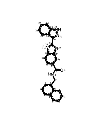 O=C(NCc1cccc2ccccc12)c1ccc2[nH]c(-c3n[nH]c4ccccc34)nc2c1